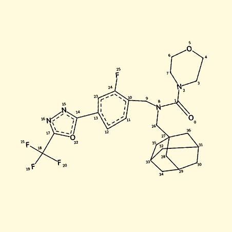 O=C(N1CCOCC1)N(Cc1ccc(-c2nnc(C(F)(F)F)o2)cc1F)CC12CC3CC(CC(C3)C1)C2